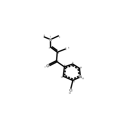 CN(C)C=C(I)C(=O)c1ccnc(Cl)c1